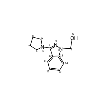 OCn1nc(N2CCCC2)c2ccccc21